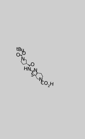 CC(C)(C)OC(=O)N1CC[C@H](C(=O)Nc2nc3c(s2)CN(C(=O)O)CC3)C1